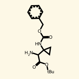 CC(C)(C)OC(=O)C(N)C1(NC(=O)OCc2ccccc2)CC1